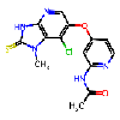 CC(=O)Nc1cc(Oc2cnc3[nH]c(=S)n(C)c3c2Cl)ccn1